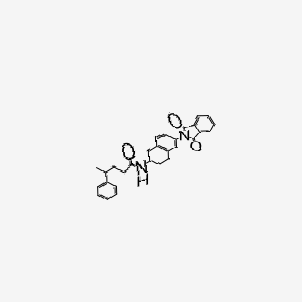 CC(CCC(=O)NC1CCc2cc(N3C(=O)c4ccccc4C3=O)ccc2C1)c1ccccc1